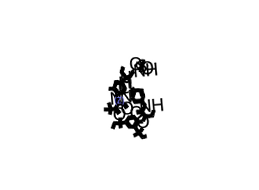 CCC(Oc1ccc(C(C)(C)CC)cc1C(C)(C)CC)C(=O)Nc1ccc(Cl)c(NC(=O)/C(=N\c2ccc(N(CC)CCNS(C)(=O)=O)cc2C)C(=O)C(C)(C)C)c1